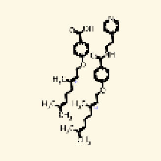 CC(C)=CCC/C(C)=C/COc1ccc(C(=O)NCCc2ccncc2)cc1.CC(C)=CCC/C(C)=C/COc1ccc(C(=O)O)cc1